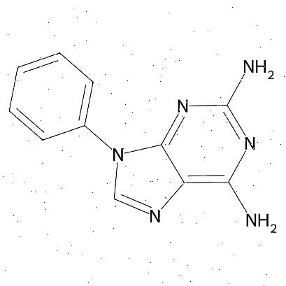 Nc1nc(N)c2ncn(-c3ccccc3)c2n1